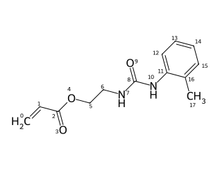 C=CC(=O)OCCNC(=O)Nc1ccccc1C